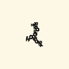 CC(=O)Nc1nc2c(Oc3cc(-c4ccc(C(F)(F)F)cc4NCC4CCN(C(=O)OC(C)(C)C)CC4)ncn3)cccc2s1